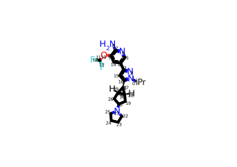 CC(C)n1nc(-c2cnc(N)c(OC(F)F)c2)cc1[C@H]1[C@@H]2CC(N3CCCC3)C[C@@H]21